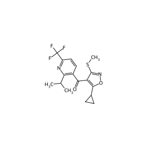 CSc1noc(C2CC2)c1C(=O)c1ccc(C(F)(F)F)nc1C(C)C